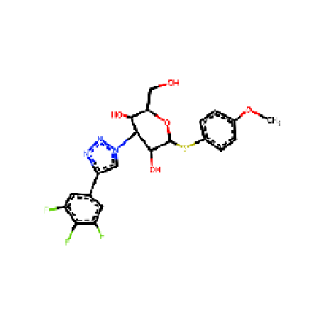 COc1ccc(SC2OC(CO)C(O)C(n3cc(-c4cc(F)c(F)c(F)c4)nn3)C2O)cc1